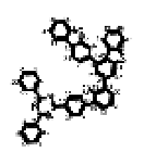 c1ccc(-c2nc(-c3ccccc3)nc(-c3ccc4c(c3)oc3c(-c5cc(-c6ccc7c(c6)sc6ccccc67)c6c(c5)sc5ccccc56)cccc34)n2)cc1